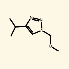 CC(C)c1cn(COI)nn1